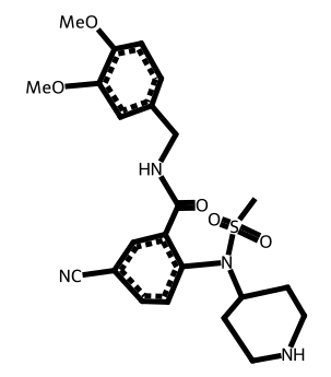 COc1ccc(CNC(=O)c2cc(C#N)ccc2N(C2CCNCC2)S(C)(=O)=O)cc1OC